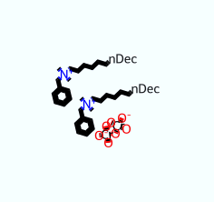 CCCCCCCCCCCCCCCC[N+](C)(C)Cc1ccccc1.CCCCCCCCCCCCCCCC[N+](C)(C)Cc1ccccc1.[O]=[Cr](=[O])([O-])[O][Cr](=[O])(=[O])[O-]